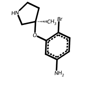 C[C@@]1(Oc2cc(N)ccc2Br)CCNC1